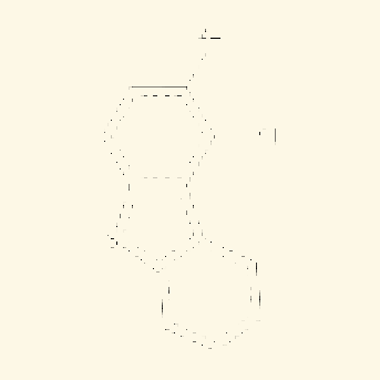 [2H]c1ccc2sc3ccccc3c2c1[2H]